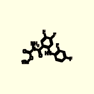 CC(C)(C)OC(=O)N(N)C(=O)c1cc(F)c(F)cc1Nc1ccc(F)cc1F